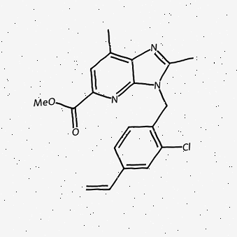 C=Cc1ccc(Cn2c(C)nc3c(C)cc(C(=O)OC)nc32)c(Cl)c1